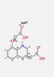 CC(=O)O.CC(=O)O.Oc1cccc2cccnc12.[NaH]